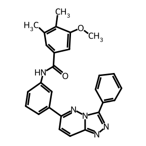 COc1cc(C(=O)Nc2cccc(-c3ccc4nnc(-c5ccccc5)n4n3)c2)cc(C)c1C